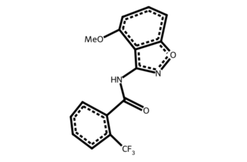 COc1cccc2onc(NC(=O)c3ccccc3C(F)(F)F)c12